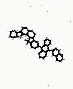 CC1(C)c2ccc(-c3c4ccccc4c(-c4ccc5ccccc5c4)c4ccccc34)cc2-c2ccc3ccc4c5ccccc5sc4c3c21